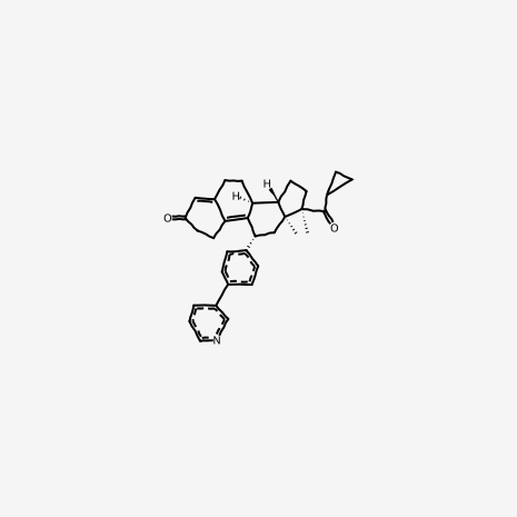 C[C@@]1(C(=O)C2CC2)CC[C@H]2[C@@H]3CCC4=CC(=O)CCC4=C3[C@@H](c3ccc(-c4cccnc4)cc3)C[C@@]21C